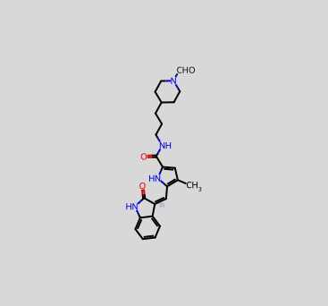 Cc1cc(C(=O)NCCCC2CCN(C=O)CC2)[nH]c1/C=C1\C(=O)Nc2ccccc21